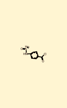 O=C(Cl)c1ccc(N[SH](=O)=O)cc1